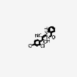 N#CC(C(=O)c1ccc(Cl)cc1Cl)=C1NC(=O)c2ccccc2N1